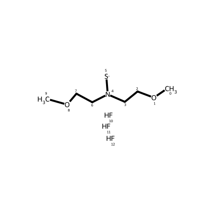 COCCN([S])CCOC.F.F.F